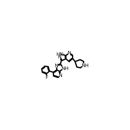 Fc1ccccc1-c1ccnc2[nH]c(-c3n[nH]c4ncc(C5CCNCC5)cc34)nc12